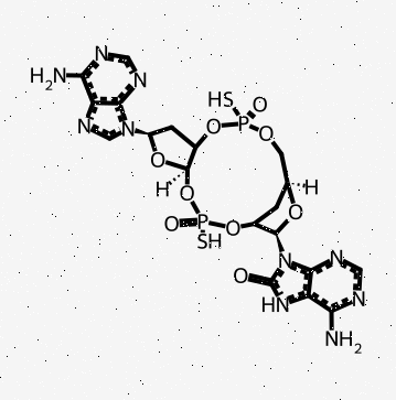 Nc1ncnc2c1ncn2[C@H]1CC2OP(=O)(S)OC[C@@H]3CC(OP(=O)(S)O[C@H]2O1)[C@H](n1c(=O)[nH]c2c(N)ncnc21)O3